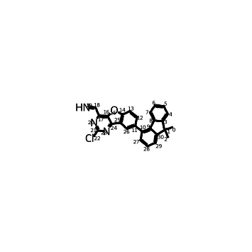 CC1(C)c2ccccc2-c2c(-c3ccc4oc5c(C=N)nc(Cl)nc5c4c3)cccc21